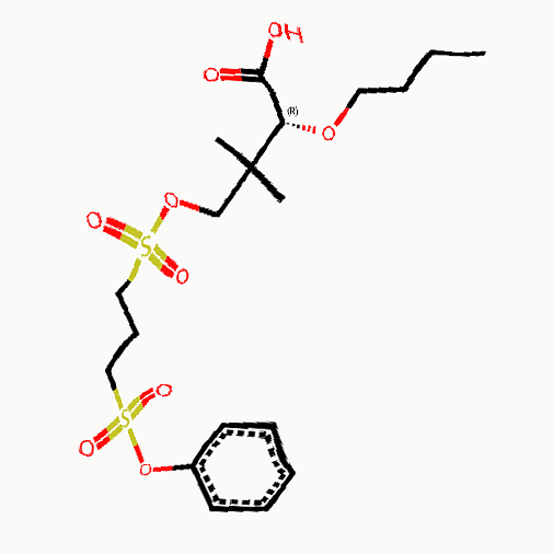 CCCCO[C@@H](C(=O)O)C(C)(C)COS(=O)(=O)CCCS(=O)(=O)Oc1ccccc1